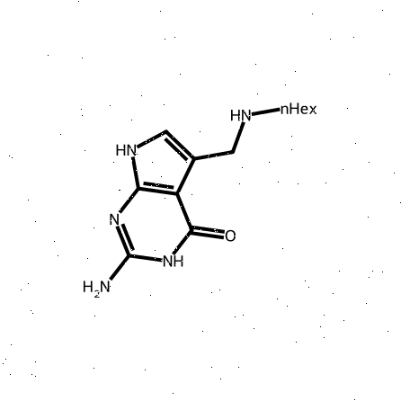 CCCCCCNCc1c[nH]c2nc(N)[nH]c(=O)c12